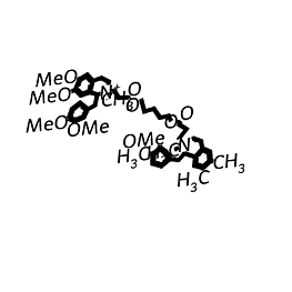 COc1cc(CC2c3cc(C)c(C)cc3CC[N+]2(C)CCC(=O)OCCCCCOC(=O)CC[N+]2(C)CCc3cc(OC)c(OC)cc3C2Cc2ccc(OC)c(OC)c2)ccc1C